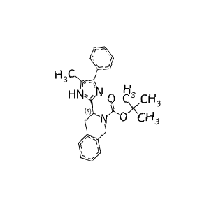 Cc1[nH]c([C@@H]2Cc3ccccc3CN2C(=O)OC(C)(C)C)nc1-c1ccccc1